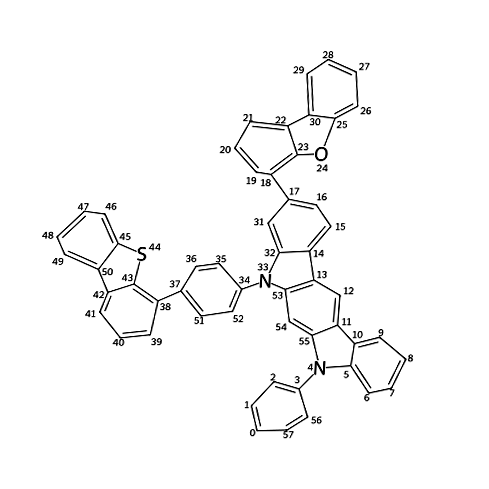 c1ccc(-n2c3ccccc3c3cc4c5ccc(-c6cccc7c6oc6ccccc67)cc5n(-c5ccc(-c6cccc7c6sc6ccccc67)cc5)c4cc32)cc1